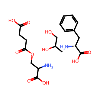 CC(O)CO.NC(COC(=O)CCC(=O)O)C(=O)O.N[C@@H](Cc1ccccc1)C(=O)O